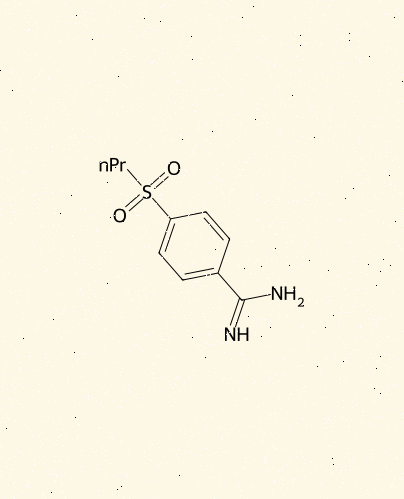 CCCS(=O)(=O)c1ccc(C(=N)N)cc1